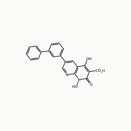 O=C(O)c1c(O)c2cc(-c3cccc(-c4ccccc4)c3)cnc2n(O)c1=O